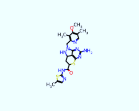 COc1c(C)cnc(CN2NC3CC(C(=O)Nc4ncc(C)s4)Sc4nc(N)nc2c43)c1C